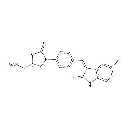 CC(=O)NC[C@H]1CN(c2ccc(C=C3C(=O)Nc4ccc(Cl)cc43)cc2)C(=O)O1